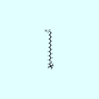 CCCCCCCCCCCCCCCOCC(F)(F)F